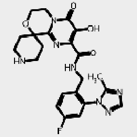 Cc1ncnn1-c1cc(F)ccc1CNC(=O)c1nc2n(c(=O)c1O)CCOC21CCNCC1